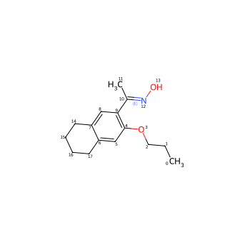 CCCOc1cc2c(cc1/C(C)=N/O)CCCC2